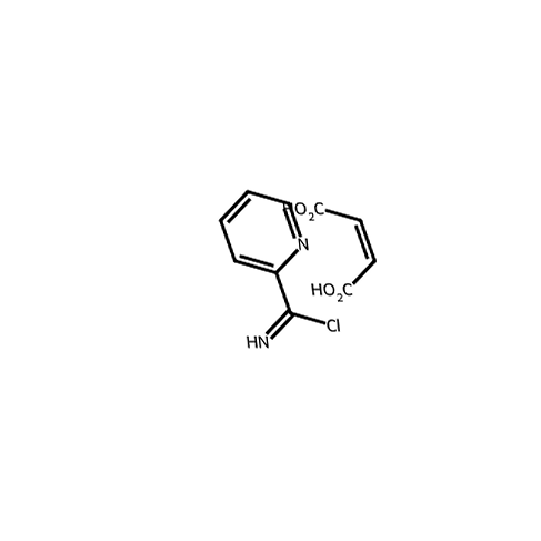 N=C(Cl)c1ccccn1.O=C(O)/C=C\C(=O)O